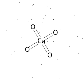 [O]=[Ca](=[O])(=[O])=[O]